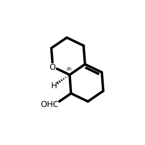 O=CC1CCC=C2CCCO[C@@H]21